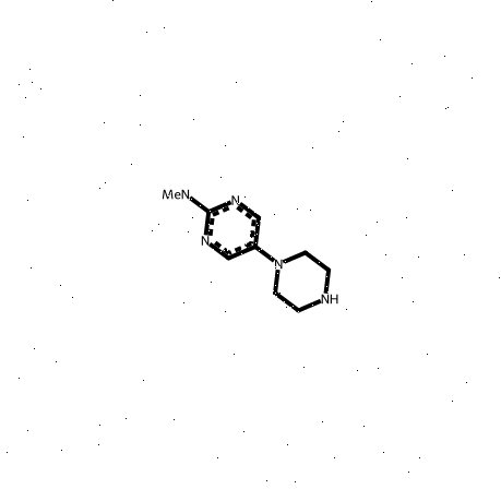 CNc1ncc(N2CCNCC2)cn1